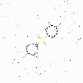 Cc1ccc(S(=O)(=O)c2ncc(I)cn2)cc1